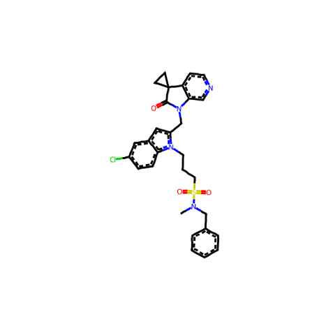 CN(Cc1ccccc1)S(=O)(=O)CCCn1c(CN2C(=O)C3(CC3)c3ccncc32)cc2cc(Cl)ccc21